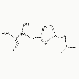 CC(C)Sc1ccc(CN(O)C(N)=O)s1